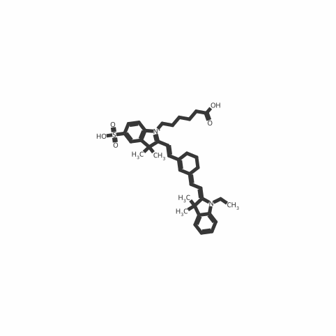 CCN1/C(=C/C=C2C=C(/C=C/C3=[N+](CCCCCC(=O)O)c4ccc(S(=O)(=O)O)cc4C3(C)C)CCC/2)C(C)(C)c2ccccc21